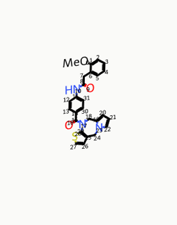 COc1ccccc1CC(=O)Nc1ccc(C(=O)N2Cc3cccn3Cc3ccsc32)cc1